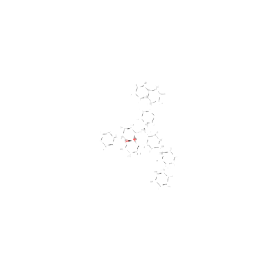 c1ccc(-c2ccc(N(c3ccc(-c4cccc5ccccc45)cc3)c3ccc(-c4cccc(-c5ccccc5)c4)cc3-c3ccccc3)cc2)cc1